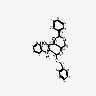 OC1C(Nc2ccccc2)C(OCc2ccccc2)OC2COC(c3ccccc3)OC21